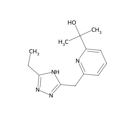 CCc1nnc(Cc2cccc(C(C)(C)O)n2)[nH]1